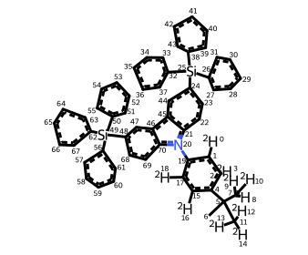 [2H]c1c([2H])c(C(C)(C([2H])([2H])[2H])C([2H])([2H])[2H])c([2H])c([2H])c1-n1c2ccc([Si](c3ccccc3)(c3ccccc3)c3ccccc3)cc2c2cc([Si](c3ccccc3)(c3ccccc3)c3ccccc3)ccc21